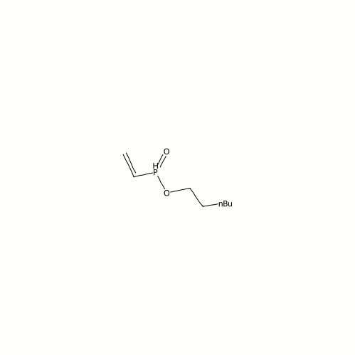 C=C[PH](=O)OCCCCCC